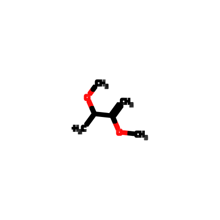 [CH2]C(OC)C(=C)OC